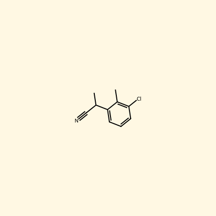 Cc1c(Cl)cccc1C(C)C#N